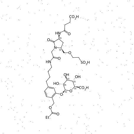 CCC(=O)OCc1ccc(CCCCNC(=O)CN2C(=O)[C@@H](NC(=O)CCC(=O)O)C[C@H]2COCCS(=O)(=O)O)cc1O[C@@H]1O[C@H](C(=O)O)[C@@H](O)[C@H](O)[C@H]1O